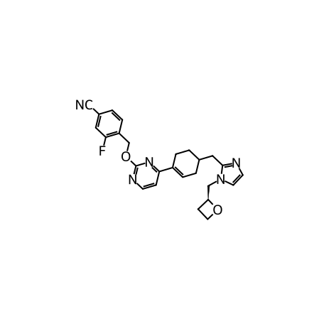 N#Cc1ccc(COc2nccc(C3=CCC(Cc4nccn4C[C@@H]4CCO4)CC3)n2)c(F)c1